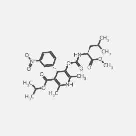 COC(=O)[C@H](CC(C)C)NC(=O)OC1=C(C)NC(C)=C(C(=O)OC(C)C)[C@@H]1c1cccc([N+](=O)[O-])c1